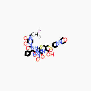 CCN1CCN(C(=O)N[C@@H](C(=O)N[C@]2(NC=O)C(=O)N3C(C(=O)O)=C(CSc4cc[n+](N5CCOCC5)cc4)CS[C@@H]32)c2ccccc2)C(=O)C1=O.[I-]